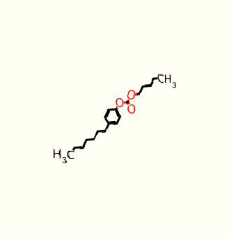 CCCCCCCc1ccc(OC(=O)OCCCCC)cc1